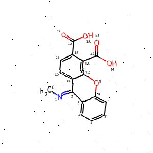 CN=c1c2ccccc2oc2c(C(=O)O)c(C(=O)O)ccc12